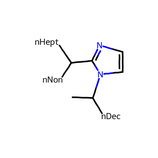 CCCCCCCCCCC(C)n1ccnc1C(CCCCCCC)CCCCCCCCC